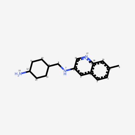 Cc1ccc2cc(NCC3CCC(N)CC3)cnc2c1